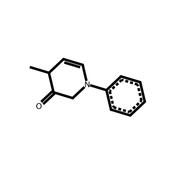 CC1C=CN(c2ccccc2)CC1=O